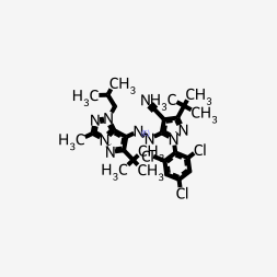 Cc1nn(CC(C)C)c2c(/N=N/c3c(C#N)c(C(C)(C)C)nn3-c3c(Cl)cc(Cl)cc3Cl)c(C(C)(C)C)nn12